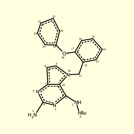 CCCCNc1nc(N)nc2ccn(Cc3ccccc3Oc3ccccc3)c12